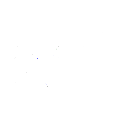 CC(C)(C)[Si](C)(C)Oc1ccc(/N=C(\N)c2cnn3cc(Br)cc3c2NC2CCCC2)c(Cl)c1